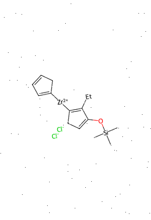 CCC1=[C]([Zr+2][C]2=CC=CC2)CC=C1O[Si](C)(C)C.[Cl-].[Cl-]